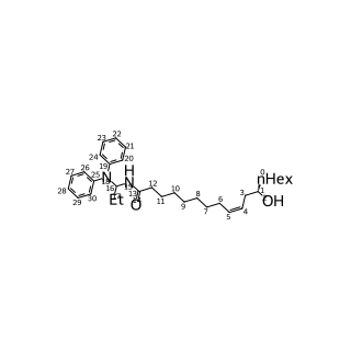 CCCCCC[C@@H](O)C/C=C\CCCCCCCC(=O)NC(CC)N(c1ccccc1)c1ccccc1